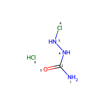 Cl.NC(=O)NNCl